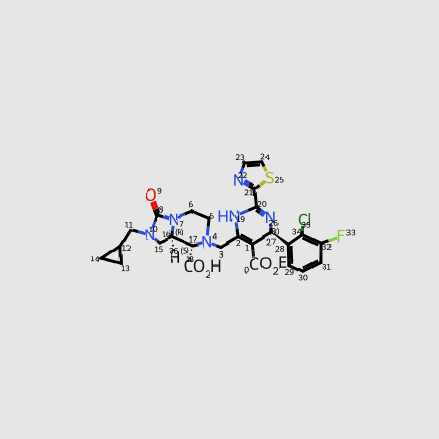 CCOC(=O)C1=C(CN2CCN3C(=O)N(CC4CC4)C[C@@H]3[C@H]2C(=O)O)NC(c2nccs2)=N[C@H]1c1cccc(F)c1Cl